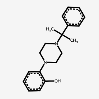 CC(C)(c1ccccc1)N1CCN(c2ccccc2O)CC1